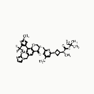 Cc1cc(C[C@H]2COc3c(cc(Cn4ccnc4C)cc3-c3cn(C)nc3C(F)(F)F)C2=O)nc(N2CC(N(C)C(=O)OC(C)(C)C)C2)c1